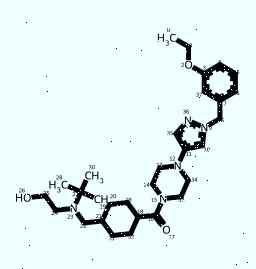 CCOc1cccc(Cn2cc(N3CCN(C(=O)C4CCC(CN(CCO)C(C)(C)C)CC4)CC3)cn2)c1